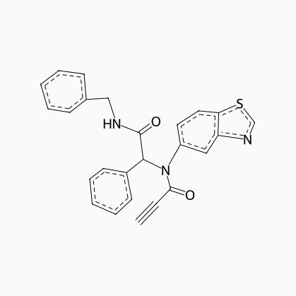 C#CC(=O)N(c1ccc2scnc2c1)C(C(=O)NCc1ccccc1)c1ccccc1